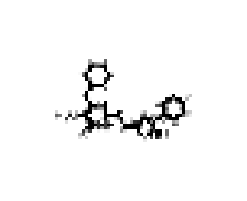 Cc1c(CC2CCCCC2)nc(SCc2cc(-c3ccccc3)[nH]n2)[nH]c1=O